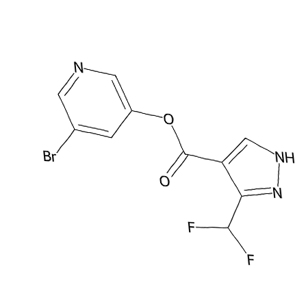 O=C(Oc1cncc(Br)c1)c1c[nH]nc1C(F)F